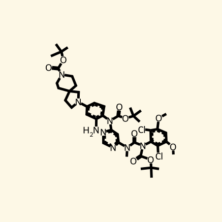 COc1cc(OC)c(Cl)c(N(C(=O)OC(C)(C)C)C(=O)N(C)c2cc(N(C(=O)OC(C)(C)C)c3ccc(N4CCC5(CCN(C(=O)OC(C)(C)C)CC5)C4)cc3N)ncn2)c1Cl